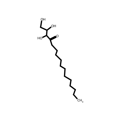 CCCCCCCCCCCCC(=O)C(O)C(O)CO